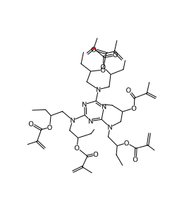 C=C(C)C(=O)OC(CC)CN(CC(CC)OC(=O)C(=C)C)c1nc(N(CC(CC)OC(=O)C(=C)C)CC(CC)OC(=O)C(=C)C)nc(N(CC(CC)OC(=O)C(=C)C)CC(CC)OC(=O)C(=C)C)n1